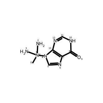 C[N+](N)(N)n1cnc2c(=O)[nH]cnc21